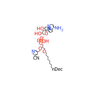 CCCCCCCCCCCCCCCCCCOC[C@H](COP(=O)(O)OC[C@H]1O[C@@](C#N)(c2ccc3c(N)ccnn23)[C@H](O)[C@@H]1O)OCc1cncc(C#N)c1